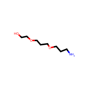 NCCCOCCCOCCO